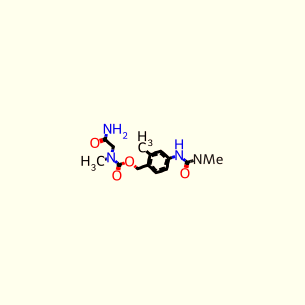 CNC(=O)Nc1ccc(COC(=O)N(C)CC(N)=O)c(C)c1